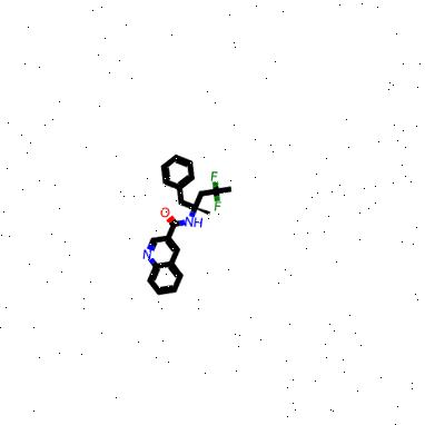 CC(F)(F)C[C@@](C)(Cc1ccccc1)NC(=O)c1cnc2ccccc2c1